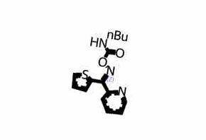 CCCCNC(=O)O/N=C(/c1ccccn1)c1cccs1